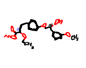 CCO/C(=C\c1ccc(OC[C@@H](O)c2cccc(OC)c2)cc1)C(=O)O